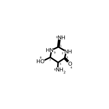 N=C1NC(=O)C(N)C(O)N1